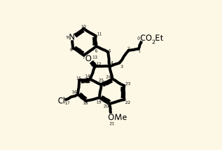 CCOC(=O)CCCC1(Cc2ccncc2)C(=O)c2cc(Cl)cc3c(OC)ccc1c23